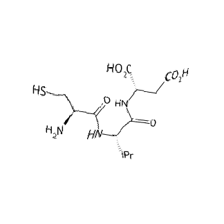 CC(C)[C@H](NC(=O)[C@@H](N)CS)C(=O)N[C@@H](CC(=O)O)C(=O)O